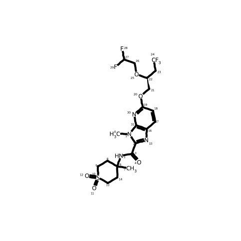 Cn1c(C(=O)NC2(C)CCS(=O)(=O)CC2)nc2ccc(OC[C@H](CC(F)(F)F)OCC(F)F)nc21